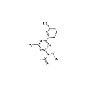 CC(C)[C@@H](C)N(c1nc(N)nc(-c2cccc(C(F)(F)F)n2)n1)[C@H](C)C(C)C